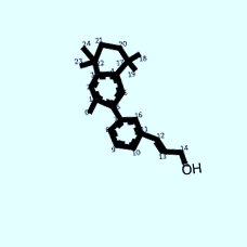 Cc1cc2c(cc1-c1cccc(C=CCO)c1)C(C)(C)CCC2(C)C